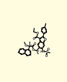 CCOC(=O)c1c(-c2ccc(C)cc2)oc2cc(NS(C)(=O)=O)c([C@@H](C)OC(=O)[C@@](C)(OC)c3cccc4ccccc34)cc12